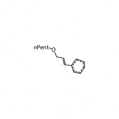 CCCCCOC/C=C/c1ccccc1